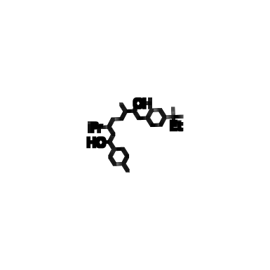 CCC(C)(C)C1CCC(C[C@H](O)C(C)CCC(CC(O)C2CCC(C)CC2)C(C)C)CC1